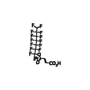 CC(C)C(F)(OC(=O)C=CC(=O)O)C(F)(F)C(F)(F)C(F)(F)C(F)(F)C(F)(F)C(F)F